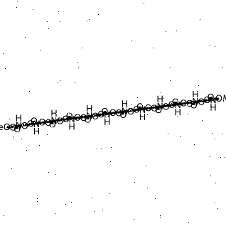 COCCNC(=O)COCCOCCNC(=O)COCCOCCNC(=O)COCCOCCNC(=O)COCCOCCNC(=O)COCCOCCNC(=O)COCCOCCNC(=O)COCCOCCNC(=O)COCCOCCNC(=O)COCCOCCNC(=O)COCCOCCNC(=O)COCCOCCNC(=O)COCCOC